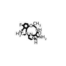 CCN1Cc2c(ccc(F)c2C#N)OC(C)CNC(=O)C2=C3N=C1C=CN3NC2N